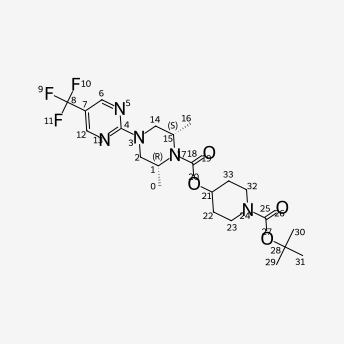 C[C@@H]1CN(c2ncc(C(F)(F)F)cn2)C[C@H](C)N1C(=O)OC1CCN(C(=O)OC(C)(C)C)CC1